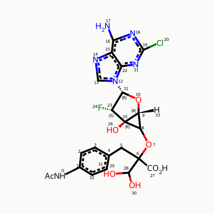 CC(=O)Nc1ccc(CC(OC2[C@H]3O[C@@H](n4cnc5c(N)nc(Cl)nc54)[C@@H](F)[C@@]23O)(C(=O)O)C(O)O)cc1